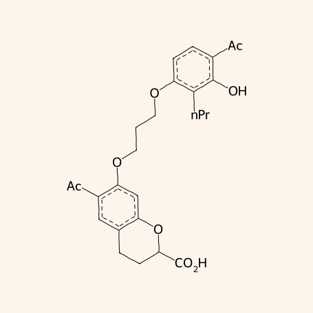 CCCc1c(OCCCOc2cc3c(cc2C(C)=O)CCC(C(=O)O)O3)ccc(C(C)=O)c1O